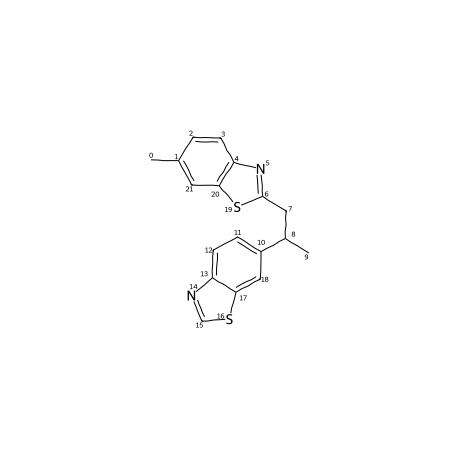 Cc1ccc2nc(CC(C)c3ccc4ncsc4c3)sc2c1